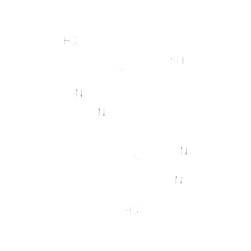 SCC(c1nnc(S)s1)c1nnc(S)s1